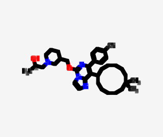 C[C@@H](O)CN1CCCC(COc2nc(-c3ccc(C#N)cc3)c(C3CCCCCC(C)(C)CCCCC3)c3nccn23)C1